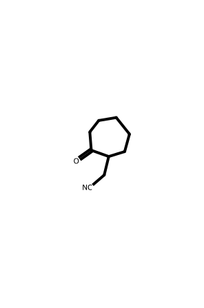 N#CCC1CCCCCC1=O